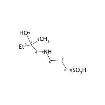 CCC(C)(O)CNCCCS(=O)(=O)O